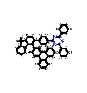 CC1(C)c2ccccc2-c2c1ccc(-c1ccc(-c3nc(-c4ccccc4)nc(-c4ccccc4)n3)cc1)c2-c1ccc2c3ccccc3c3ccccc3c2c1